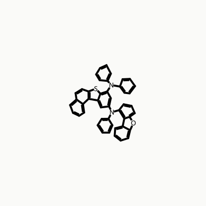 c1ccc(N(c2ccccc2)c2cc(N(c3ccccc3)c3cccc4oc5ccccc5c34)cc3c2sc2ccc4ccccc4c23)cc1